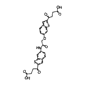 O=C(O)CCC(=O)c1cc2ccc(NC(=O)COc3ccc4cc(C(=O)CCC(=O)O)sc4c3)cc2s1